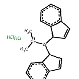 Cl.Cl.[CH3][GeH]([CH3])[Zr]([CH]1C=Cc2ccccc21)[CH]1C=Cc2ccccc21